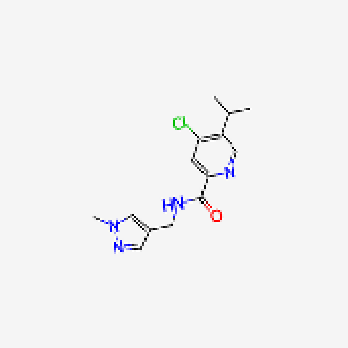 CC(C)c1cnc(C(=O)NCc2cnn(C)c2)cc1Cl